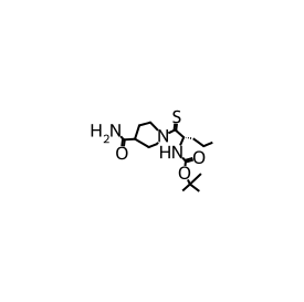 CCC[C@H](NC(=O)OC(C)(C)C)C(=S)N1CCC(C(N)=O)CC1